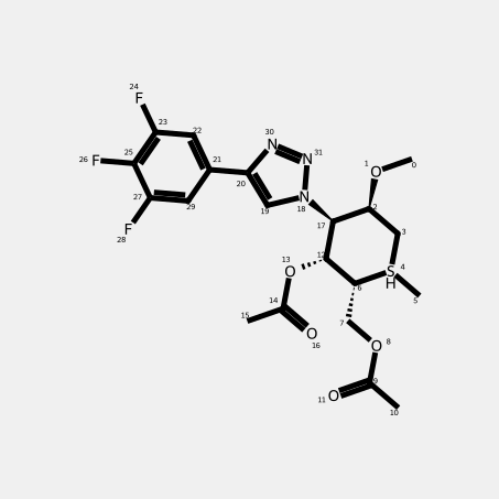 CO[C@H]1C[SH](C)[C@H](COC(C)=O)[C@H](OC(C)=O)[C@H]1n1cc(-c2cc(F)c(F)c(F)c2)nn1